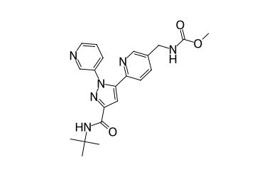 COC(=O)NCc1ccc(-c2cc(C(=O)NC(C)(C)C)nn2-c2cccnc2)nc1